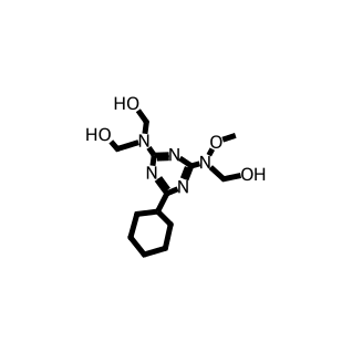 CON(CO)c1nc(C2CCCCC2)nc(N(CO)CO)n1